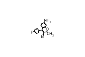 C=C1Oc2cc(N)ccc2C(c2ccc(F)cc2)=C1C#N